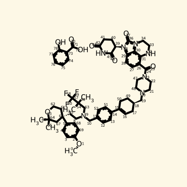 COc1ccc([C@]2(CCN(Cc3ccc(C4=CC[C@H](CN5CCN(C(=O)c6ccc7c8c6NCCn8c(=O)n7[C@@H]6CCC(=O)NC6=O)CC5)CC4)cc3)CC(C)(C)C(F)(F)F)CCOC(C)(C)C2)cc1.O=C(O)c1ccccc1O